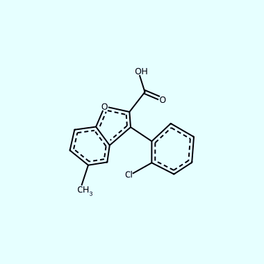 Cc1ccc2oc(C(=O)O)c(-c3ccccc3Cl)c2c1